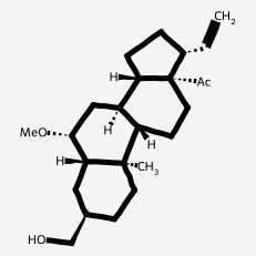 C=C[C@H]1CC[C@H]2[C@@H]3C[C@@H](OC)[C@H]4C[C@H](CO)CC[C@]4(C)[C@H]3CC[C@]12C(C)=O